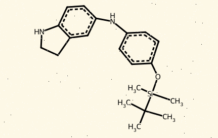 CC(C)(C)[Si](C)(C)Oc1ccc(Nc2ccc3c(c2)CCN3)cc1